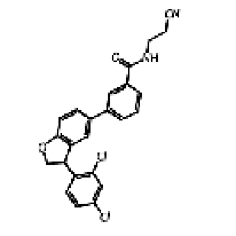 N#CCCNC(=O)c1cccc(-c2ccc3c(c2)C(c2ccc(Cl)cc2Cl)CO3)c1